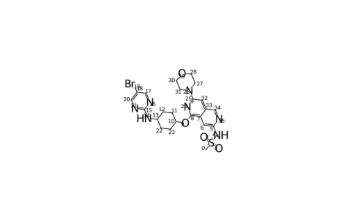 CS(=O)(=O)Nc1cc2c(OC3CCC(Nc4ncc(Br)cn4)CC3)nc(N3CCOCC3)cc2cn1